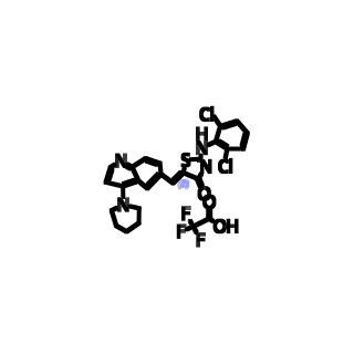 O=C(O)C(F)(F)F.O=C1N=C(Nc2c(Cl)cccc2Cl)S/C1=C\c1ccc2nccc(N3CCCCC3)c2c1